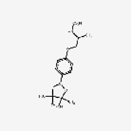 CC(COc1ccc(B2OC(C)(C)C(C)(C)O2)cc1)NC(=O)O